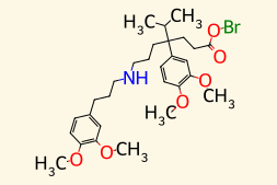 COc1ccc(CCCNCCCC(CCC(=O)OBr)(c2ccc(OC)c(OC)c2)C(C)C)cc1OC